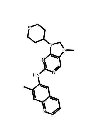 Cc1cc2ncccc2cc1Nc1ncc2c(n1)N(C1CCSCC1)CN2C